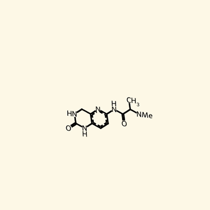 CNC(C)C(=O)Nc1ccc2c(n1)CNC(=O)N2